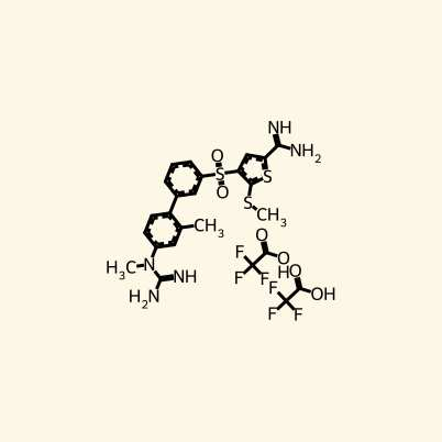 CSc1sc(C(=N)N)cc1S(=O)(=O)c1cccc(-c2ccc(N(C)C(=N)N)cc2C)c1.O=C(O)C(F)(F)F.O=C(O)C(F)(F)F